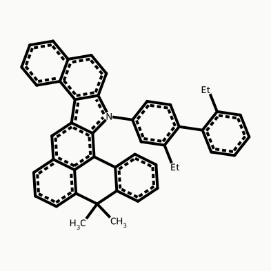 CCc1ccccc1-c1ccc(-n2c3ccc4ccccc4c3c3cc4cccc5c4c(c32)-c2ccccc2C5(C)C)cc1CC